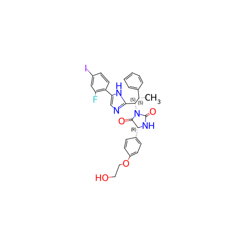 C[C@@H](c1ccccc1)[C@@H](c1ncc(-c2ccc(I)cc2F)[nH]1)N1C(=O)N[C@H](c2ccc(OCCO)cc2)C1=O